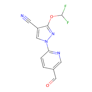 N#Cc1cn(-c2ccc(C=O)cn2)nc1OC(F)F